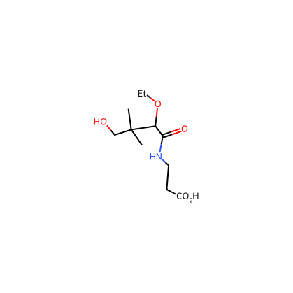 CCOC(C(=O)NCCC(=O)O)C(C)(C)CO